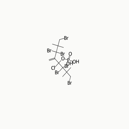 C=C(C(Br)(Br)C(C)(C)CBr)C(Cl)(OP(=O)(O)O)C(Br)(Br)C(C)(C)CBr